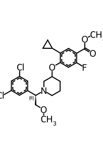 COC[C@@H](c1cc(Cl)cc(Cl)c1)N1CCCC(Oc2cc(F)c(C(=O)OC)cc2C2CC2)C1